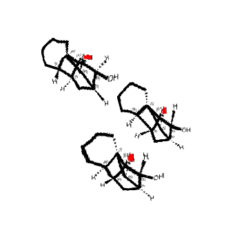 O[C@@H]1[C@H]2C[C@H]3[C@@H]1[C@@]1(CCCC[C@H]31)[C@H]2Cl.O[C@@H]1[C@H]2C[C@H]3[C@@H]1[C@@]1(CCCC[C@H]31)[C@H]2Cl.O[C@H]1[C@@H]2C[C@@H]3[C@H]1[C@]1(CCCC[C@@H]31)[C@@H]2Cl